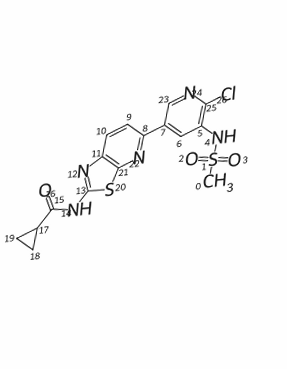 CS(=O)(=O)Nc1cc(-c2ccc3nc(NC(=O)C4CC4)sc3n2)cnc1Cl